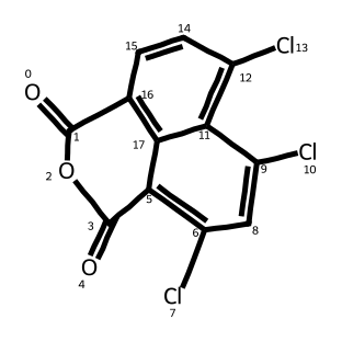 O=C1OC(=O)c2c(Cl)cc(Cl)c3c(Cl)ccc1c23